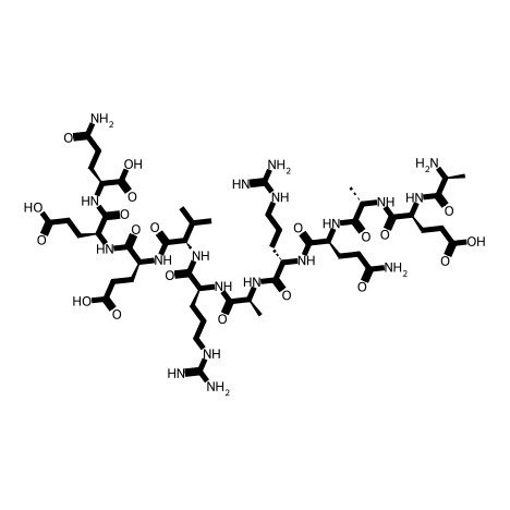 CC(C)[C@H](NC(=O)[C@H](CCCNC(=N)N)NC(=O)[C@H](C)NC(=O)[C@H](CCCNC(=N)N)NC(=O)[C@H](CCC(N)=O)NC(=O)[C@H](C)NC(=O)[C@H](CCC(=O)O)NC(=O)[C@H](C)N)C(=O)N[C@@H](CCC(=O)O)C(=O)N[C@@H](CCC(=O)O)C(=O)N[C@@H](CCC(N)=O)C(=O)O